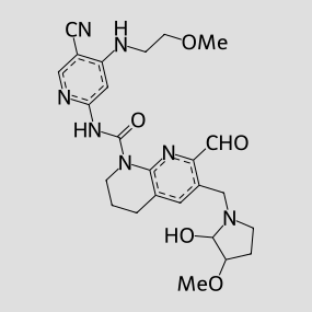 COCCNc1cc(NC(=O)N2CCCc3cc(CN4CCC(OC)C4O)c(C=O)nc32)ncc1C#N